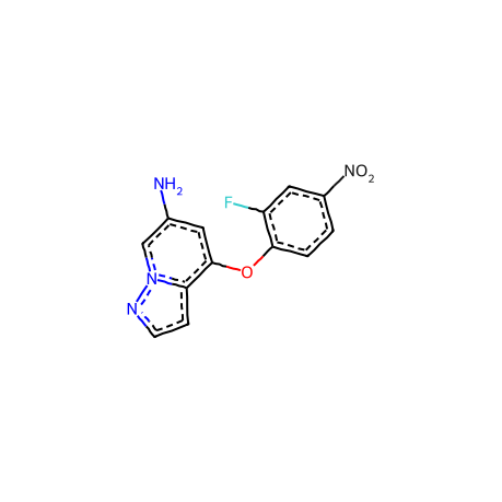 Nc1cc(Oc2ccc([N+](=O)[O-])cc2F)c2ccnn2c1